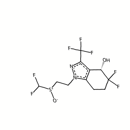 [O-][S+](CCn1nc(C(F)(F)F)c2c1CCC(F)(F)[C@H]2O)C(F)F